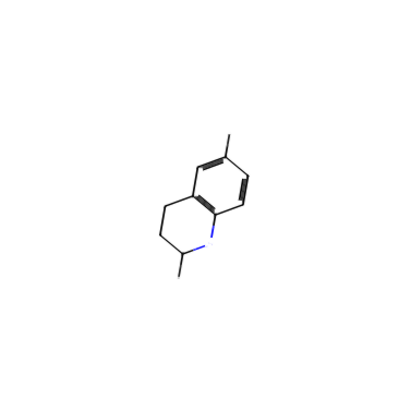 CCC1CCc2cc(C=O)ccc2N1